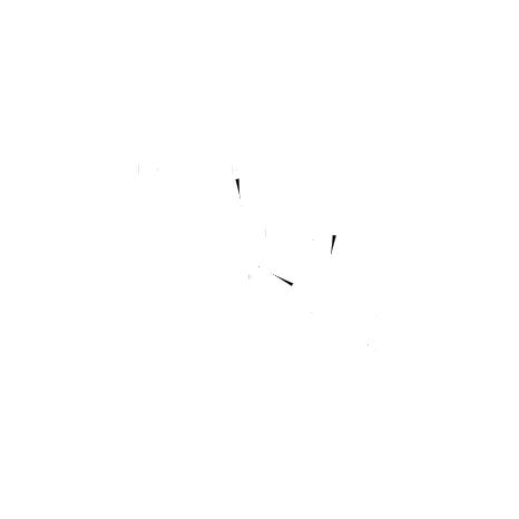 CC(=O)[C@H]1CC[C@H]2[C@@H]3CC[C@H]4C[C@](C)(O)CC[C@@H]4[C@@]3(C)CC[C@]12C